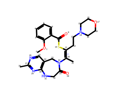 COc1ccccc1C(=O)S/C(CCN1CCOCC1)=C(/C)N1Cc2cnc(C)nc2NCC1=O